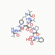 CC[C@H](C)[C@H]([C@@H](CC(=O)N1CCCC1[C@H](OC)[C@@H](C)C(=O)N[C@H](Cc1ccccc1)C(=O)O)OC)N(C)C(=O)[C@@H](NC(=O)[C@H](C(C)C)N(C)CCc1ccc(N(C)C(=O)[C@H](C)NC(=O)[C@@H](N)C(C)C)cc1)C(C)C